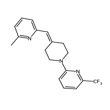 Cc1cccc(C=C2CCN(c3cccc(C(F)(F)F)n3)CC2)n1